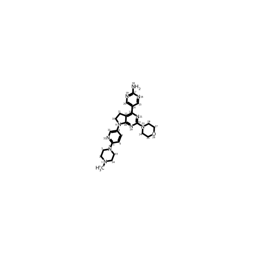 CN1CCN(c2ccc(N3CCc4c(-c5cnc(N)nc5)nc(N5CCOCC5)nc43)cn2)CC1